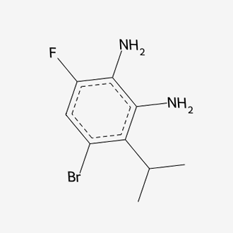 CC(C)c1c(Br)cc(F)c(N)c1N